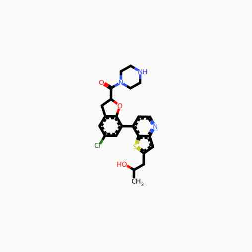 CC(O)Cc1cc2nccc(-c3cc(Cl)cc4c3OC(C(=O)N3CCNCC3)C4)c2s1